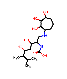 CC(C)C(C)C(O)CC(O)C(CNC1CCCC(O)C(O)C1O)NC(=O)O